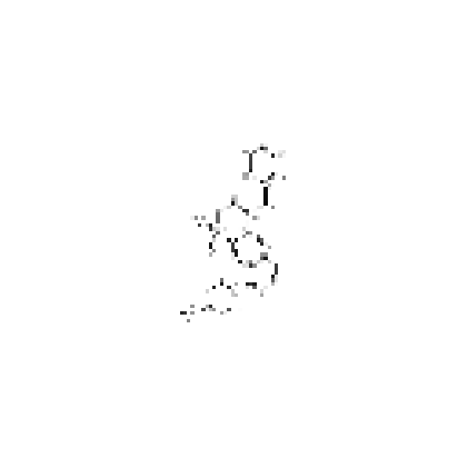 CN1CCN(c2ccccc2C=C2C(=O)N(Cc3ccccc3)CCS2(=O)=O)CC1